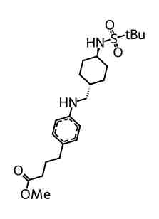 COC(=O)CCCc1ccc(NC[C@H]2CC[C@H](NS(=O)(=O)C(C)(C)C)CC2)cc1